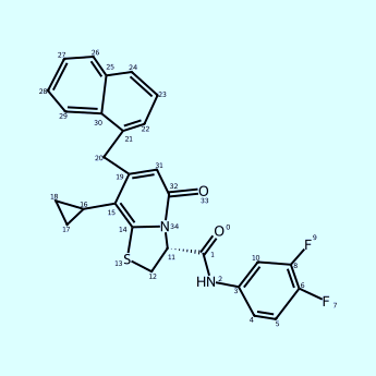 O=C(Nc1ccc(F)c(F)c1)[C@@H]1CSc2c(C3CC3)c(Cc3cccc4ccccc34)cc(=O)n21